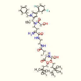 CC(C)(C)[C@H](c1cc(-c2cc(F)ccc2F)cn1Cc1ccccc1)N(CC[C@H](N)C(=O)NCCNC(=O)CC[C@H](NC(O)OCC[Si](C)(C)C)C(=O)OCC[Si](C)(C)C)C(=O)CO